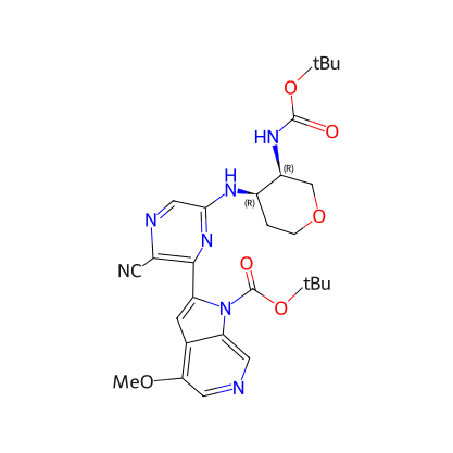 COc1cncc2c1cc(-c1nc(N[C@@H]3CCOC[C@@H]3NC(=O)OC(C)(C)C)cnc1C#N)n2C(=O)OC(C)(C)C